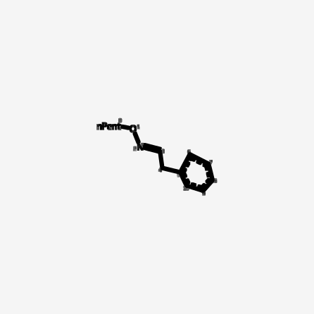 CCCCCON=CCc1cc[c]cc1